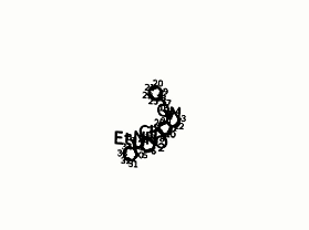 CCC(N)C1(c2ccc(Oc3cc4ccnc(OCc5ccccc5)c4cc3Cl)cc2)CCCCC1